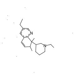 CCc1cnc2c(c1)C=CC(C)C2(C)C1CCCN(CC)C1